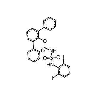 O=C(NS(=O)(=O)Nc1c(I)cccc1I)Oc1c(-c2ccccc2)cccc1-c1ccccc1